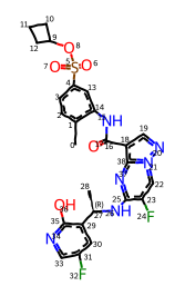 Cc1ccc(S(=O)(=O)OC2CCC2)cc1NC(=O)c1cnn2cc(F)c(N[C@H](C)c3cc(F)cnc3O)nc12